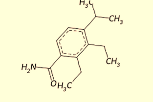 CCc1c(C(N)=O)ccc(C(C)C)c1CC